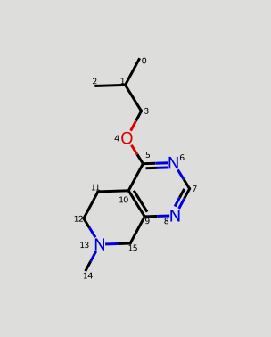 CC(C)COc1ncnc2c1CCN(C)C2